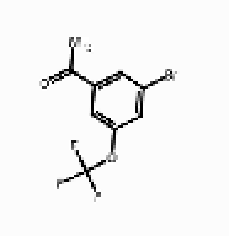 NC(=O)c1cc(Br)cc(OC(F)(F)F)c1